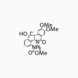 C=CCN1C(=O)c2cc(OC)c(OC)cc2[C@H](C(=O)O)[C@@H]1c1ccccc1NC(=O)OC